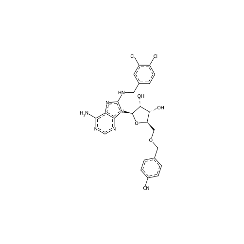 N#Cc1ccc(COC[C@H]2O[C@@H](n3c(NCc4ccc(Cl)c(Cl)c4)nc4c(N)ncnc43)[C@H](O)[C@@H]2O)cc1